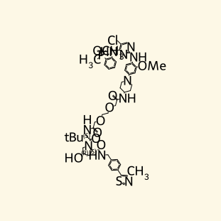 COc1cc(N2CCC(NC(=O)COCCOCC(=O)N[C@H](C(=O)N3C[C@H](O)C[C@H]3C(=O)NCc3ccc(-c4scnc4C)cc3)C(C)(C)C)CC2)ccc1Nc1ncc(Cl)c(Nc2ccccc2P(C)(C)=O)n1